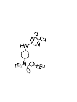 CC(C)(C)OC(=O)N(C1CCC(Nc2cnc(C#N)c(Cl)n2)CC1)C(C)(C)C